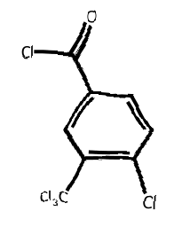 O=C(Cl)c1ccc(Cl)c(C(Cl)(Cl)Cl)c1